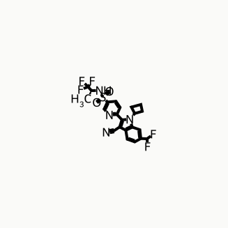 C[C@H](NS(=O)(=O)c1ccc(-c2c(C#N)c3ccc(C(F)F)cc3n2C2CCC2)nc1)C(F)(F)F